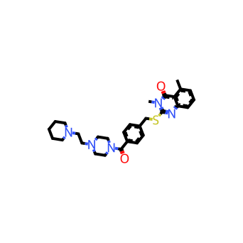 Cc1cccc2nc(SCc3ccc(C(=O)N4CCN(CCN5CCCCC5)CC4)cc3)n(C)c(=O)c12